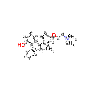 CC=C(c1ccccc1)C(c1ccc(OCCN(C)C)cc1)c1cccc(O)c1